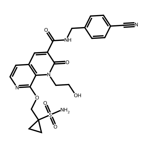 N#Cc1ccc(CNC(=O)c2cc3ccnc(OCC4(S(N)(=O)=O)CC4)c3n(CCO)c2=O)cc1